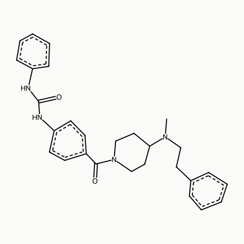 CN(CCc1ccccc1)C1CCN(C(=O)c2ccc(NC(=O)Nc3ccccc3)cc2)CC1